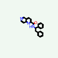 O=C(NC(Cc1ccccc1)c1ccccc1)c1ccc2cnccc2n1